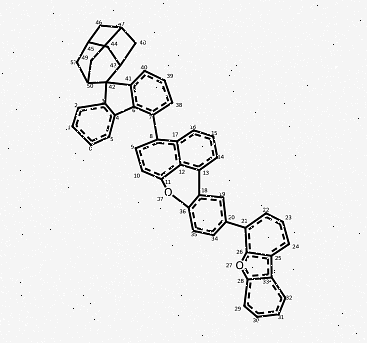 c1ccc2c(c1)-c1c(-c3ccc4c5c(cccc35)-c3cc(-c5cccc6c5oc5ccccc56)ccc3O4)cccc1C21C2CC3CC(C2)CC1C3